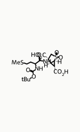 CSCCC(NC(=O)OC(C)(C)C)C(=O)N[C@@]1(C(=O)O)CS(=O)(=O)[C@H]2[C@H](C(=O)O)[C@H]21